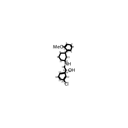 COc1ccccc1C1CCCC(NC[C@H](O)c2cccc(Cl)c2)C1